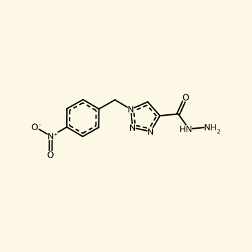 NNC(=O)c1cn(Cc2ccc([N+](=O)[O-])cc2)nn1